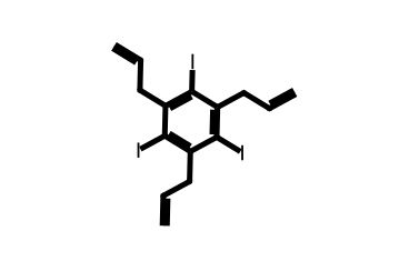 C=CCc1c(I)c(CC=C)c(I)c(CC=C)c1I